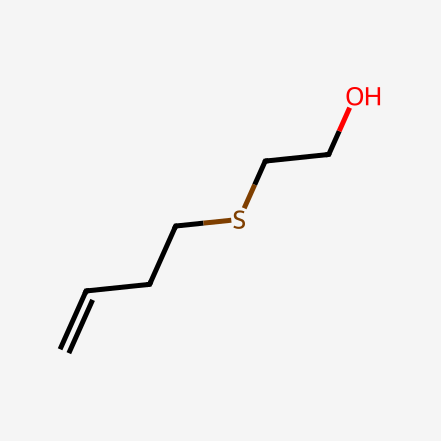 C=CCCSCCO